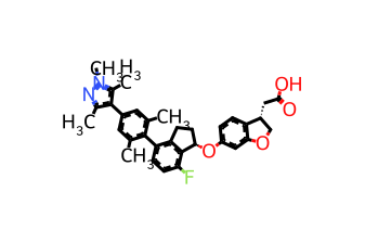 Cc1cc(-c2c(C)nn(C)c2C)cc(C)c1-c1ccc(F)c2c1CC[C@H]2Oc1ccc2c(c1)OC[C@H]2CC(=O)O